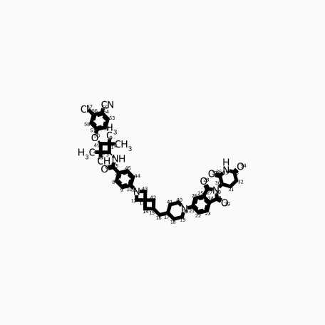 CC1(C)[C@H](NC(=O)c2ccc(N3CC4(CC(CC5CCN(c6ccc7c(c6)C(=O)N(C6CCC(=O)NC6=O)C7=O)CC5)C4)C3)cc2)C(C)(C)[C@H]1Oc1ccc(C#N)c(Cl)c1